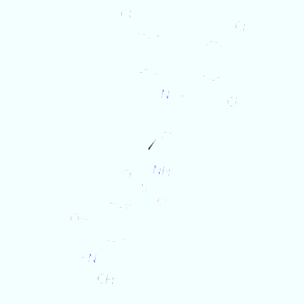 CN1CCOc2cc(S(=O)(=O)NC[C@@H]3CCC(c4ccc(Cl)cc4Cl)N(c4ccc(Cl)cc4)C3)ccc21